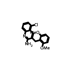 COc1cccc(OC)c1Cc1cc2c(Cl)cccc2nc1N